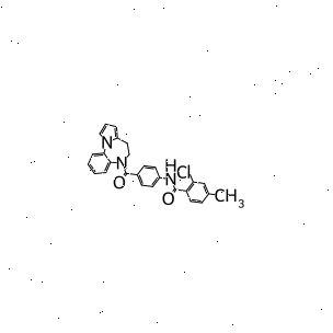 Cc1ccc(C(=O)Nc2ccc(C(=O)N3CCc4cccn4-c4ccccc43)cc2)c(Cl)c1